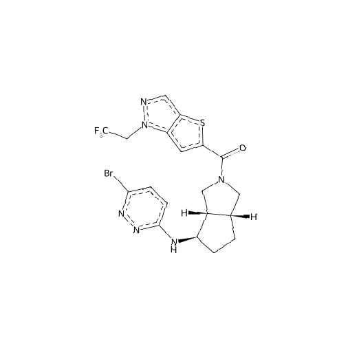 O=C(c1cc2c(cnn2CC(F)(F)F)s1)N1C[C@@H]2CC[C@@H](Nc3ccc(Br)nn3)[C@@H]2C1